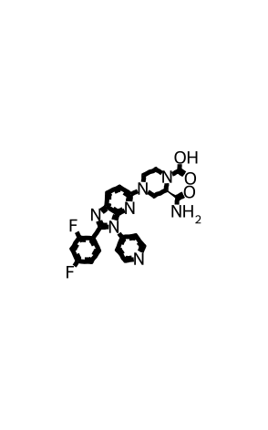 NC(=O)[C@H]1CN(c2ccc3nc(-c4ccc(F)cc4F)n(-c4ccncc4)c3n2)CCN1C(=O)O